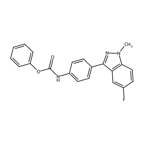 Cn1nc(-c2ccc(NC(=O)Oc3ccccc3)cc2)c2cc(F)ccc21